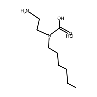 CCCCCCN(CCN)C(=O)O.Cl